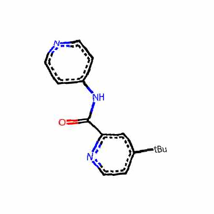 CC(C)(C)c1ccnc(C(=O)Nc2ccncc2)c1